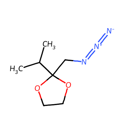 CC(C)C1(CN=[N+]=[N-])OCCO1